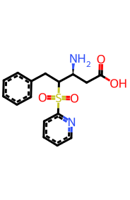 N[C@@H](CC(=O)O)C(Cc1ccccc1)S(=O)(=O)c1ccccn1